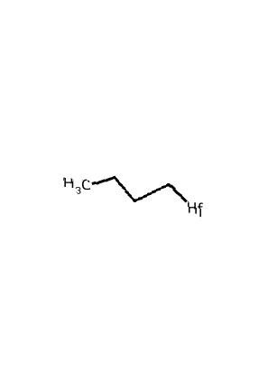 CCC[CH2][Hf]